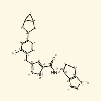 CCc1nc(N2CC3CC3C2)ccc1Cc1cc(C(=O)N[C@@H]2CCc3c2ncn3C)[nH]n1